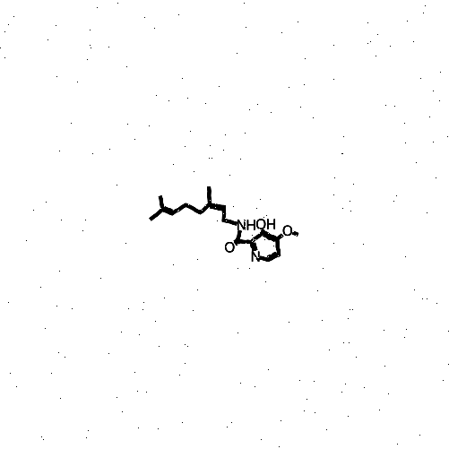 COc1ccnc(C(=O)NCC=C(C)CCC=C(C)C)c1O